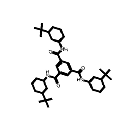 CC(C)(C)C1CCCC(NC(=O)c2cc(C(=O)NC3CCCC(C(C)(C)C)C3)cc(C(=O)NC3CCCC(C(C)(C)C)C3)c2)C1